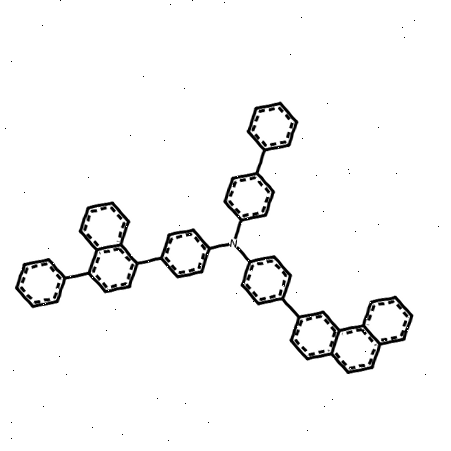 c1ccc(-c2ccc(N(c3ccc(-c4ccc5ccc6ccccc6c5c4)cc3)c3ccc(-c4ccc(-c5ccccc5)c5ccccc45)cc3)cc2)cc1